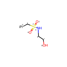 CC(C)CS(=O)(=O)NCCO